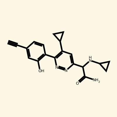 C#Cc1ccc(-c2nnc(C(NC3CC3)C(N)=O)cc2C2CC2)c(O)c1